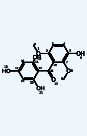 COc1ccc(O)c(OC)c1C(=O)c1c(O)cc(O)cc1O